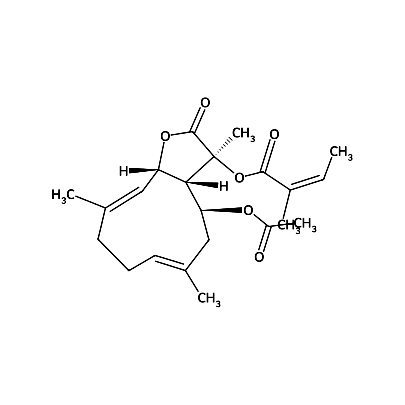 C/C=C(/C)C(=O)O[C@]1(C)C(=O)O[C@H]2/C=C(\C)CC/C=C(\C)C[C@H](OC(C)=O)[C@H]21